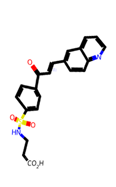 O=C(O)CCNS(=O)(=O)c1ccc(C(=O)/C=C/c2ccc3ncccc3c2)cc1